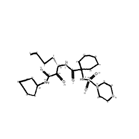 CCCC[C@H](NC(=O)C1(NS(=O)(=O)N2CCOCC2)CCCCC1)C(=O)C(=O)NC1CCCC1